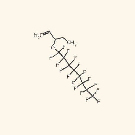 C=CC(CC)OC(F)(F)C(F)(F)C(F)(F)C(F)(F)C(F)(F)C(F)(F)C(F)(F)C(F)(F)F